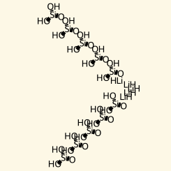 O=[Si](O)O.O=[Si](O)O.O=[Si](O)O.O=[Si](O)O.O=[Si](O)O.O=[Si](O)O.O=[Si](O)O.O=[Si](O)O.O=[Si](O)O.O=[Si](O)O.[LiH].[LiH].[LiH].[LiH].[LiH]